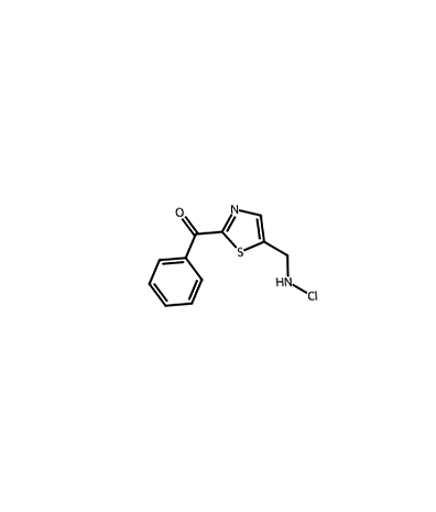 O=C(c1ccccc1)c1ncc(CNCl)s1